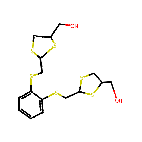 OCC1CSC(CSc2ccccc2SCC2SCC(CO)S2)S1